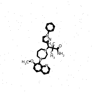 COc1ccc2cccnc2c1N1CCCN(C(c2ccn(-c3ccccc3)n2)C(C)(C)C(N)=O)CC1